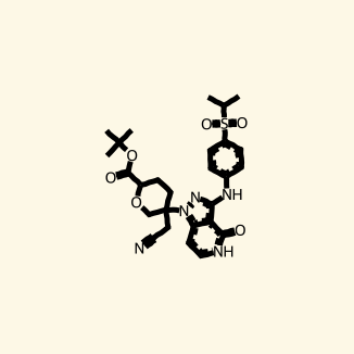 CC(C)S(=O)(=O)c1ccc(Nc2nn(C3(CC#N)CCC(C(=O)OC(C)(C)C)OC3)c3cc[nH]c(=O)c23)cc1